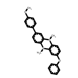 COc1ccc(-c2ccc3c(c2)N(C)c2ccc(Oc4ccccc4)cc2N3C)cc1